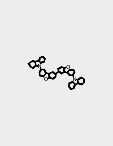 c1ccc2c(c1)c1ccccc1n2-c1ccc2oc3ccc(-c4ccc5oc6ccc(-n7c8ccccc8c8ccccc87)cc6c5c4)cc3c2c1